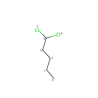 CCC[CH]C(Cl)Cl